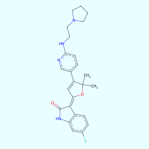 CC1(C)O/C(=C2/C(=O)Nc3cc(F)ccc32)C=C1c1ccc(NCCN2CCCC2)nc1